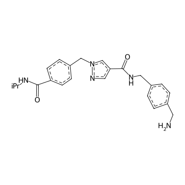 CC(C)NC(=O)c1ccc(Cn2cc(C(=O)NCc3ccc(CN)cc3)cn2)cc1